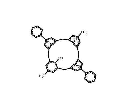 Cc1cc2c(O)c(c1)Cc1cc(-c3ccccc3)cc(c1O)Cc1cc(C)cc(c1O)Cc1cc(-c3ccccc3)cc(c1O)C2